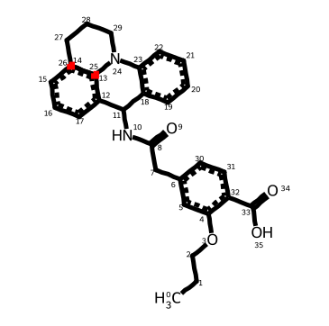 CCCOc1cc(CC(=O)NC(c2ccccc2)c2ccccc2N2CCCCC2)ccc1C(=O)O